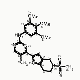 COc1cc(Nc2ncc(C)c(-c3cc4c(o3)CCN(S(C)(=O)=O)C4)n2)cc(OC)c1OC